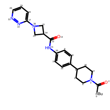 CCCCC(=O)N1CCC(c2ccc(NC(=O)C3CN(c4cccnn4)C3)cc2)CC1